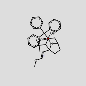 CO/C=C/C12CCC(CN(C(c3ccccc3)(c3ccccc3)c3ccccc3)C1C(C)(C)C)N2C(=O)O